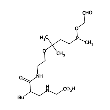 CCC(C)C(CNCC(=O)O)C(=O)NCCOC(C)(C)CCP(C)OCC=O